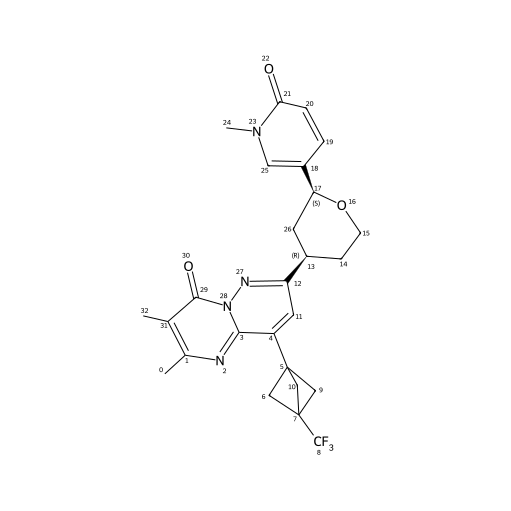 Cc1nc2c(C34CC(C(F)(F)F)(C3)C4)cc([C@@H]3CCO[C@H](c4ccc(=O)n(C)c4)C3)nn2c(=O)c1C